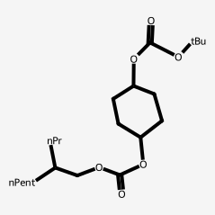 CCCCCC(CCC)COC(=O)OC1CCC(OC(=O)OC(C)(C)C)CC1